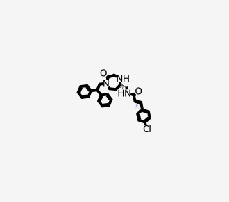 O=C(/C=C/c1ccc(Cl)cc1)NC[C@@H]1CCN(CC(c2ccccc2)c2ccccc2)C(=O)CN1